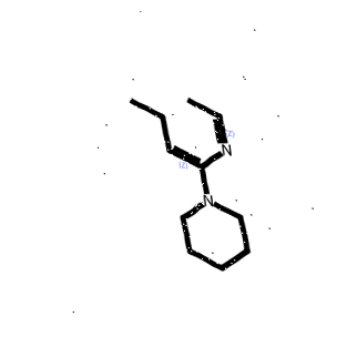 C/C=N\C(=C/CC)N1CCCCC1